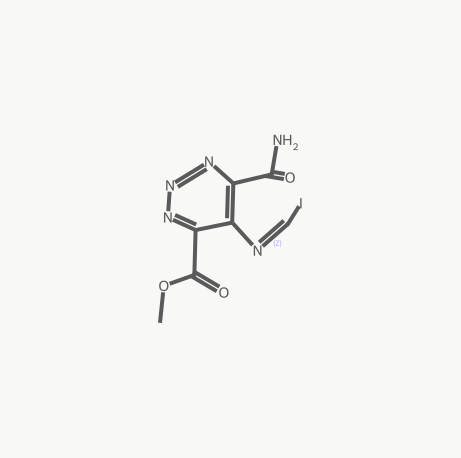 COC(=O)c1nnnc(C(N)=O)c1/N=C\I